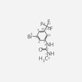 CNC(=O)Nc1cc(Br)cc(C(F)(F)F)c1